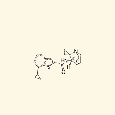 O=C(N[C@H]1C2CCN(CC2)C12CC2)c1cc2cccc(C3CC3)c2s1